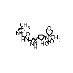 Cc1cnc(CC(=O)Nc2cc([C@H]3CC[C@@H](N(C(=O)O)C4(C)CCOCC4)C3)[nH]n2)o1